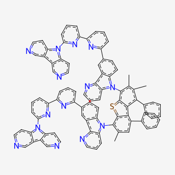 Cc1cc(-c2ccccc2)c2c(sc3c(-n4c5ccc(-c6cccc(-c7cccc(-n8c9ccncc9c9cnccc98)n7)n6)cc5c5ncccc54)c(C)c(C)c(-c4ccccc4)c32)c1-n1c2ccc(-c3cccc(-c4cccc(-n5c6ccncc6c6cnccc65)n4)n3)cc2c2ncccc21